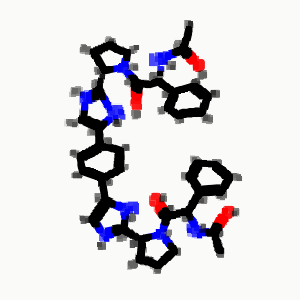 CC(=O)N[C@@H](C(=O)N1CCC[C@H]1c1ncc(-c2ccc(-c3cnc([C@@H]4CCCN4C(=O)[C@H](NC(C)=O)c4ccccc4)[nH]3)cc2)[nH]1)c1ccccc1